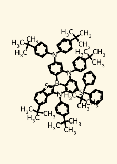 CC(C)(C)c1ccc(N(c2ccc(C(C)(C)C)cc2)c2ccc3c(c2)N(c2ccc(C(C)(C)C)cc2)c2cc([Si](c4ccccc4)(c4ccccc4)C(C)(C)C)cc4c2B3c2sc3ccc(C(C)(C)C)cc3c2N4c2ccc(C(C)(C)C)cc2)cc1